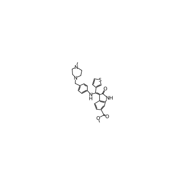 COC(=O)c1ccc2c(c1)NC(=O)C2=C(Nc1ccc(CN2CCN(C)CC2)cc1)c1ccsc1